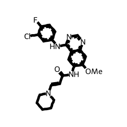 COc1cc2ncnc(Nc3ccc(F)c(Cl)c3)c2cc1NC(=O)C=CN1CCCCC1